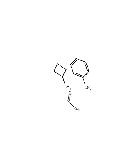 CC1CCC1.Cc1ccccc1.O=CO